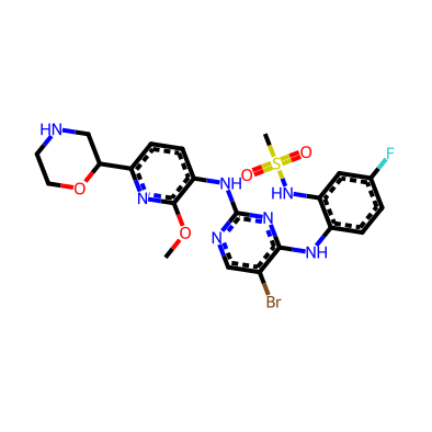 COc1nc(C2CNCCO2)ccc1Nc1ncc(Br)c(Nc2ccc(F)cc2NS(C)(=O)=O)n1